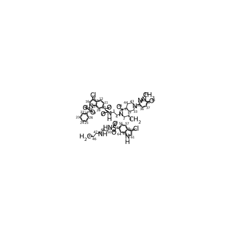 C=CCN(CCNS(=O)(=O)c1ccc2c(Cl)cn(S(=O)(=O)c3ccccc3)c2c1)C(=O)C1CCN(c2ccc(=O)n(C)n2)CC1.C=CCNCCNS(=O)(=O)c1ccc2c(Cl)c[nH]c2c1